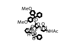 COc1ccc(C(OC[C@H]2O[C@@H](n3ccc(NC(C)=O)nc3=O)[C@@H](F)[C@@H]2O[P@]2O[C@H](CS(=O)(=O)c3ccccc3)[C@@H]3CCCN32)(c2ccccc2)c2ccc(OC)cc2)cc1